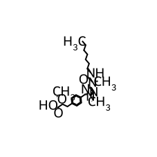 CCCCCCCNC(=O)N(C)c1nc(-c2ccc(CC(OCC)C(=O)O)cc2)n(C)n1